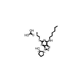 CCCCCCNc1nc(SCCC)nc2c1nnn2[C@@H]1CCC[C@H]1O.O=C(O)O